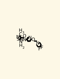 Cc1nsc(N)c1C(=O)Nc1ccc(OCCN2CCC(F)(F)CC2)nc1